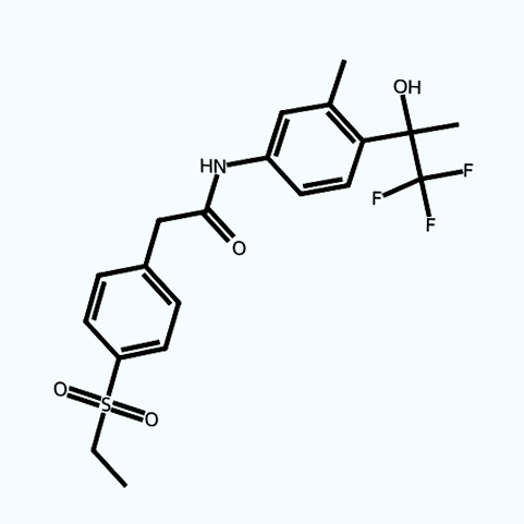 CCS(=O)(=O)c1ccc(CC(=O)Nc2ccc(C(C)(O)C(F)(F)F)c(C)c2)cc1